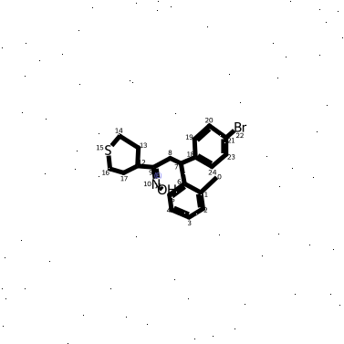 Cc1ccccc1C(C/C(=N\O)C1CCSCC1)c1ccc(Br)cc1